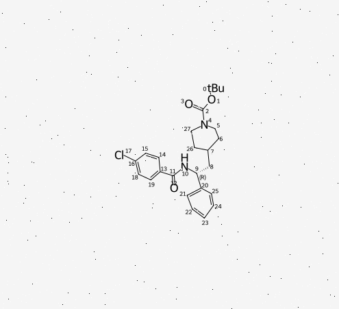 CC(C)(C)OC(=O)N1CCC(C[C@@H](NC(=O)c2ccc(Cl)cc2)c2ccccc2)CC1